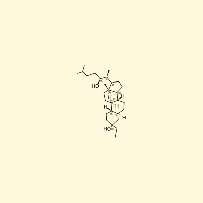 CC[C@]1(O)CC[C@H]2[C@@H](CC[C@@H]3[C@@H]2CC[C@]2(C)[C@@H]([C@H](C)[C@@H](O)CCC(C)C)CC[C@@H]32)C1